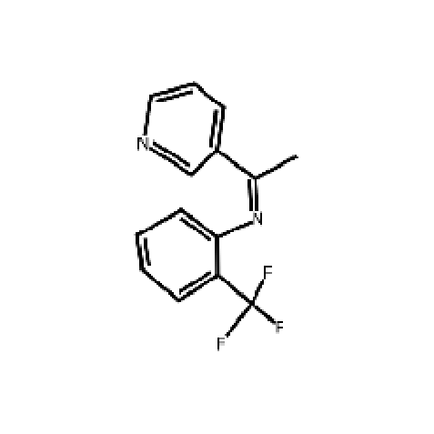 CC(=Nc1ccccc1C(F)(F)F)c1cccnc1